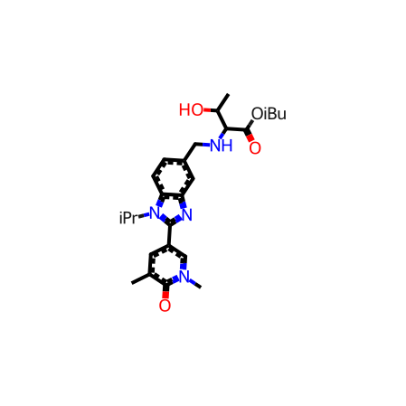 Cc1cc(-c2nc3cc(CNC(C(=O)OCC(C)C)C(C)O)ccc3n2C(C)C)cn(C)c1=O